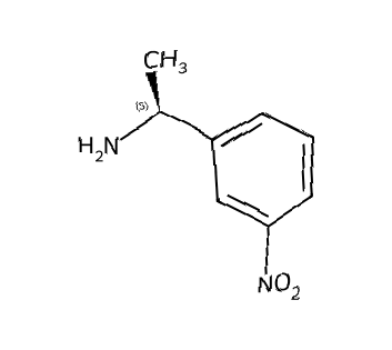 C[C@H](N)c1cccc([N+](=O)[O-])c1